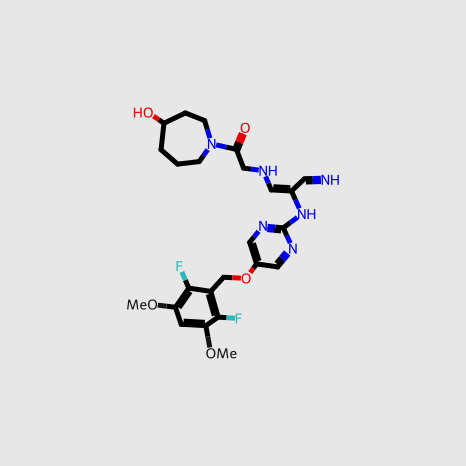 COc1cc(OC)c(F)c(COc2cnc(N/C(C=N)=C/NCC(=O)N3CCCC(O)CC3)nc2)c1F